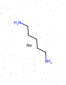 NCCCCCN.[Na]